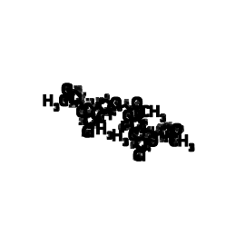 COC(=O)C(CCOc1ccc(C(CC(=O)c2ccc(=O)n(C)c2)c2ccc(Cl)cc2C)cc1F)Oc1ccc(C(CC(=O)c2ccc(=O)n(C)c2)c2ccc(Cl)cc2C)cc1F